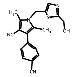 Cc1c(C#N)c(-c2ccc(C#N)cc2)c(C)n1Cc1cnc(CO)s1